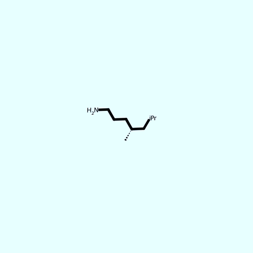 CC(C)C[C@H](C)CCCN